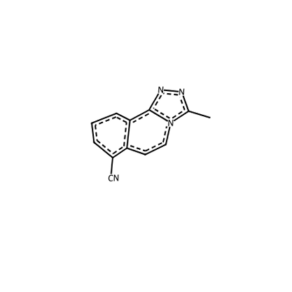 Cc1nnc2c3cccc(C#N)c3ccn12